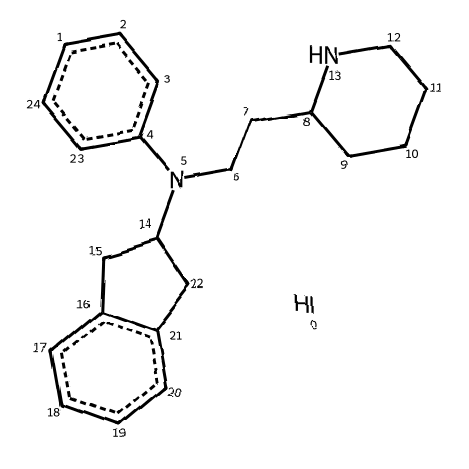 I.c1ccc(N(CCC2CCCCN2)C2Cc3ccccc3C2)cc1